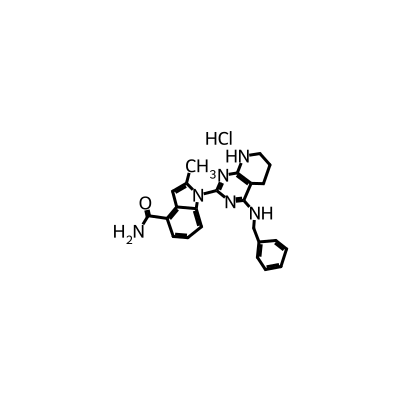 Cc1cc2c(C(N)=O)cccc2n1-c1nc2c(c(NCc3ccccc3)n1)CCCN2.Cl